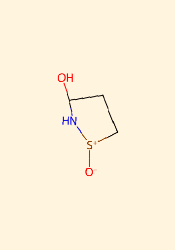 [O-][S+]1CCC(O)N1